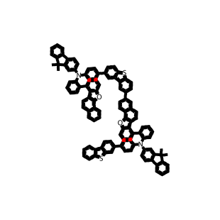 CC1(C)c2ccccc2-c2ccc(N(c3ccc(-c4ccc5sc6ccc(-c7ccc8c(ccc9c8oc8cccc(-c%10ccccc%10N(c%10ccc(-c%11ccc%12c(c%11)sc%11ccccc%11%12)cc%10)c%10ccc%11c(c%10)C(C)(C)c%10ccccc%10-%11)c89)c7)cc6c5c4)cc3)c3ccccc3-c3cccc4oc5c6ccccc6ccc5c34)cc21